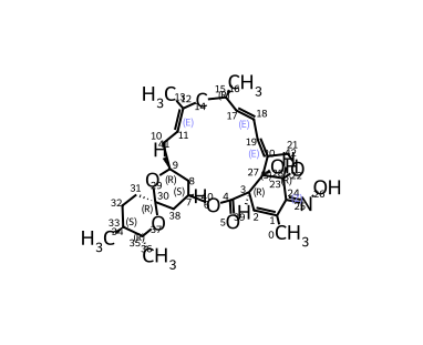 CC1=C[C@H]2C(=O)O[C@H]3C[C@@H](C/C=C(\C)C[C@@H](C)/C=C/C=C4\CO[C@H](/C1=N\O)[C@@]42O)O[C@@]1(CC[C@H](C)[C@@H](C)O1)C3